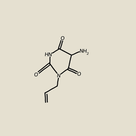 C=CCN1C(=O)NC(=O)C(N)C1=O